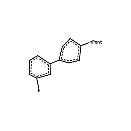 CCCCCc1ccc(-c2cccc(F)c2)cc1